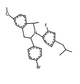 COc1ccc2c(c1)CC(c1ccc(Br)cc1)N(c1ccc(CC(C)C)cc1F)C2C